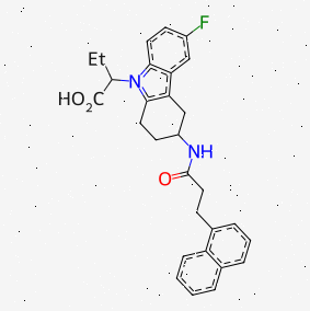 CCC(C(=O)O)n1c2c(c3cc(F)ccc31)CC(NC(=O)CCc1cccc3ccccc13)CC2